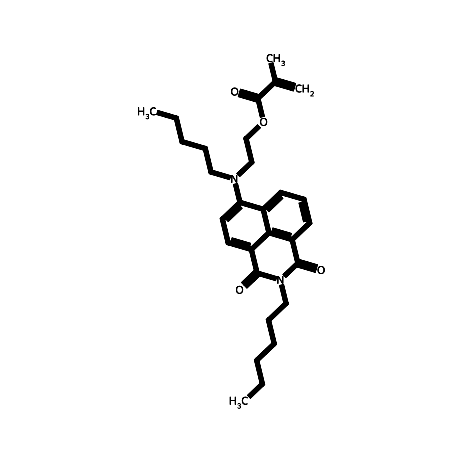 C=C(C)C(=O)OCCN(CCCCC)c1ccc2c3c(cccc13)C(=O)N(CCCCCC)C2=O